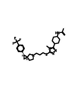 C=C(C)NC1CCC(c2nnc(SCCCN3CC[C@]4(C[C@@H]4c4ccc(C(F)(F)F)cc4)C3)n2C)CC1